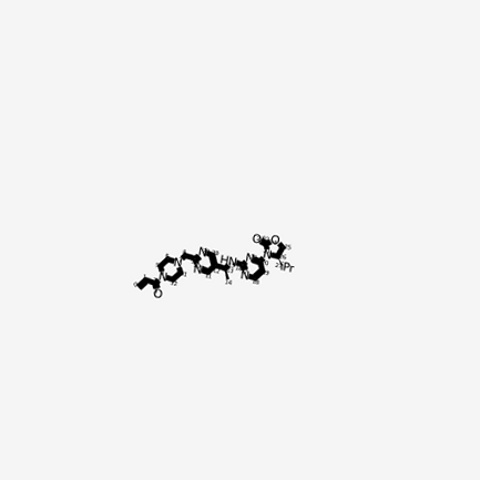 C=CC(=O)N1CCN(Cc2ncc([C@H](C)Nc3nccc(N4C(=O)OC[C@@H]4C(C)C)n3)cn2)CC1